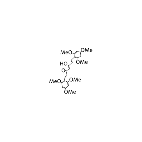 COc1cc(OC)c(/C=C/C(=O)/C=C(O)/C=C/c2c(OC)cc(OC)cc2OC)c(OC)c1